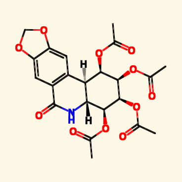 CC(=O)O[C@@H]1[C@H](OC(C)=O)[C@H](OC(C)=O)[C@@H]2c3cc4c(cc3C(=O)N[C@H]2[C@@H]1OC(C)=O)OCO4